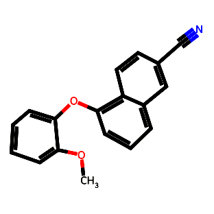 COc1ccccc1Oc1cccc2cc(C#N)ccc12